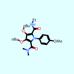 CCCCOc1c(OCCCC)c(C(=O)N(C)C)n(-c2ccc(OC)cc2)c1C(=O)NCC